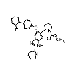 COC(=O)N1CCCC1c1cc2[nH]c(-c3ccccn3)nc2cc1Oc1ccc(-c2ccccc2F)cc1